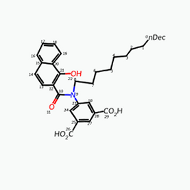 CCCCCCCCCCCCCCCCCCN(C(=O)c1ccc2ccccc2c1O)c1cc(C(=O)O)cc(C(=O)O)c1